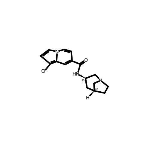 O=C(N[C@@H]1C[C@H]2CCN(C2)C1)c1ccn2ccc(Cl)c2c1